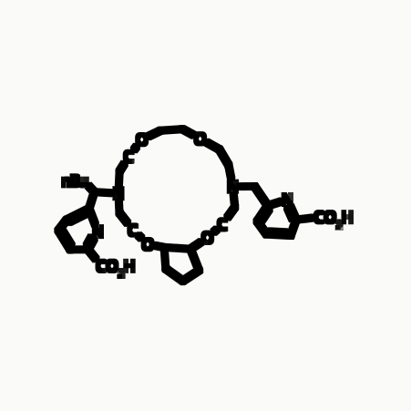 CCCCC(c1cccc(C(=O)O)n1)N1CCOCCOCCN(Cc2cccc(C(=O)O)n2)CCOC2CCCC2OCC1